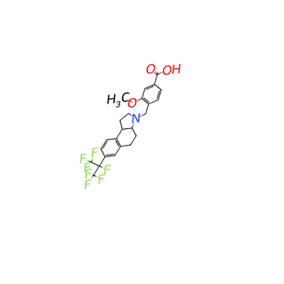 COc1cc(C(=O)O)ccc1CN1CCC2c3ccc(C(F)(C(F)(F)F)C(F)(F)F)cc3CCC21